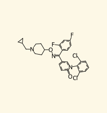 O=c1ccc(/C(=N/OC2CCN(CC3CC3)CC2)c2ccc(F)cc2F)cn1-c1c(Cl)cccc1Cl